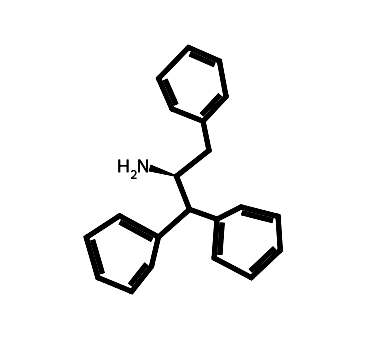 N[C@@H](Cc1ccccc1)C(c1ccccc1)c1ccccc1